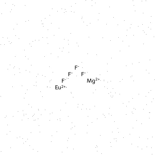 [Eu+2].[F-].[F-].[F-].[F-].[Mg+2]